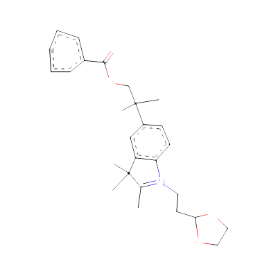 CC1=[N+](CCC2OCCO2)c2ccc(C(C)(C)COC(=O)c3ccccc3)cc2C1(C)C